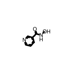 O=C(NO)c1cccnc1